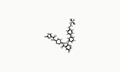 Cc1nc(C(=O)NC2CCC(NC(=O)c3cc(F)cnc3Oc3cccc(-c4ccc(CCOS(C)(=O)=O)cc4)c3)CC2)cs1